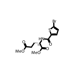 COC(=O)CC[C@H](NC(=O)c1ccc(Br)s1)C(=O)OC